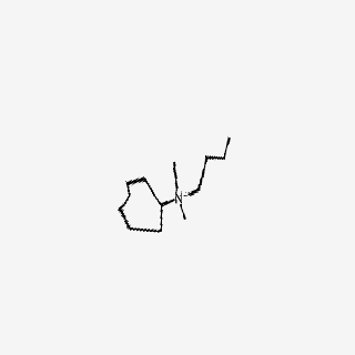 CCCC[N+](C)(C)C1CCCCC1